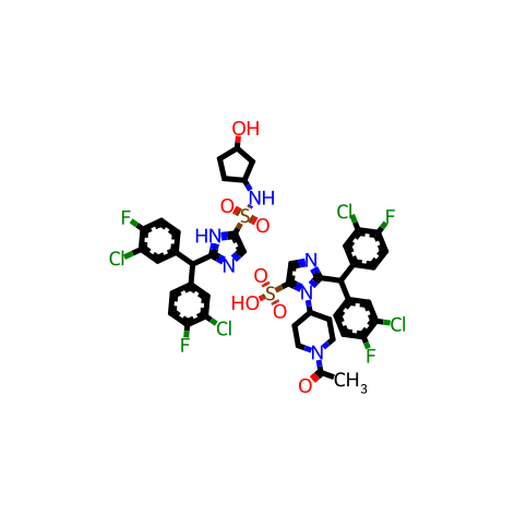 CC(=O)N1CCC(n2c(S(=O)(=O)O)cnc2C(c2ccc(F)c(Cl)c2)c2ccc(F)c(Cl)c2)CC1.O=S(=O)(NC1CCC(O)C1)c1cnc(C(c2ccc(F)c(Cl)c2)c2ccc(F)c(Cl)c2)[nH]1